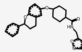 O=C(NCc1ccno1)C1CCC(Oc2ccc3c(c2)CCC(c2ccccc2)O3)CC1